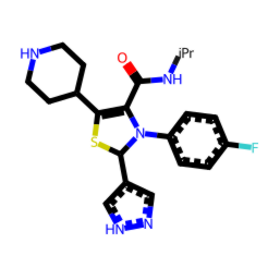 CC(C)NC(=O)C1=C(C2CCNCC2)SC(c2cn[nH]c2)N1c1ccc(F)cc1